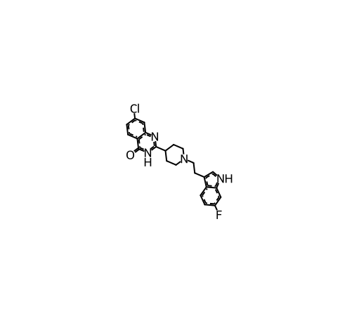 O=c1[nH]c(C2CCN(CCc3c[nH]c4cc(F)ccc34)CC2)nc2cc(Cl)ccc12